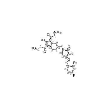 CNCC(=O)n1c(=O)n(C(=O)CCO)c2ccc(Cn3ccc(OCc4ccc(F)cc4F)c(Cl)c3=O)cc21